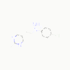 Cc1ncc(CCN(N)c2ccc(Cl)cc2)cn1